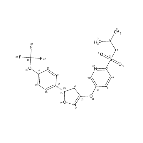 CC(C)CS(=O)(=O)c1ccc(OC2=NO[C@H](c3ccc(OC(F)(F)F)cc3)C2)cn1